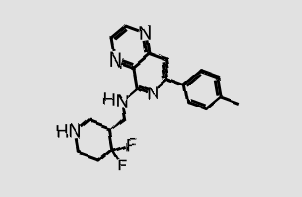 Cc1ccc(-c2cc3nccnc3c(NC[C@@H]3CNCCC3(F)F)n2)cc1